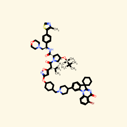 Cc1ncsc1-c1ccc([C@H](CN2CCOCC2)NC(=O)[C@@H]2C[C@@H](O[Si](C)(C)C(C)(C)C)CN2C(=O)[C@@H](c2cc(OC3CCC(CN4CCC(c5ccc6c(c5)-n5c(nc(=O)c7c(Br)cccc75)C65CCCCC5)CC4)CC3)no2)C(C)C)cc1